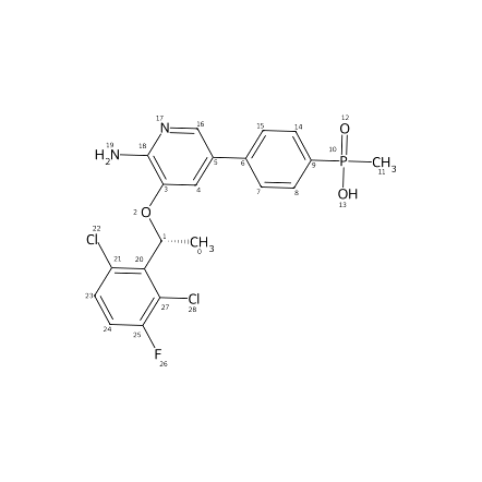 C[C@@H](Oc1cc(-c2ccc(P(C)(=O)O)cc2)cnc1N)c1c(Cl)ccc(F)c1Cl